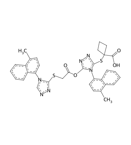 Cc1ccc(-n2cnnc2SCC(=O)Oc2nnc(SC3(C(=O)O)CCC3)n2-c2ccc(C)c3ccccc23)c2ccccc12